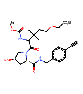 C#Cc1ccc(CNC(=O)[C@@H]2C[C@@H](O)CN2C(=O)C(NC(=O)OC(C)(C)C)C(C)(C)CCOCC(=O)OCC)cc1